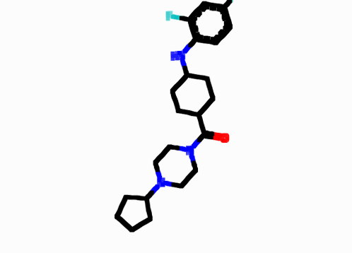 O=C(C1CCC(Nc2ccc(F)cc2F)CC1)N1CCN(C2CCCC2)CC1